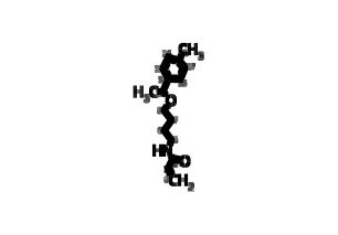 C=CC(=O)NCCCCOC(C)c1ccc(C)cc1